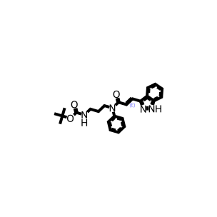 CC(C)(C)OC(=O)NCCCN(C(=O)/C=C/c1n[nH]c2ccccc12)c1ccccc1